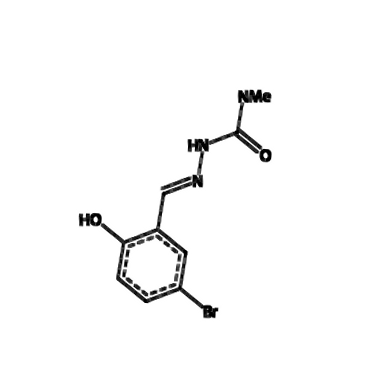 CNC(=O)N/N=C/c1cc(Br)ccc1O